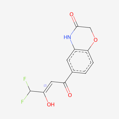 O=C1COc2ccc(C(=O)/C=C(\O)C(F)F)cc2N1